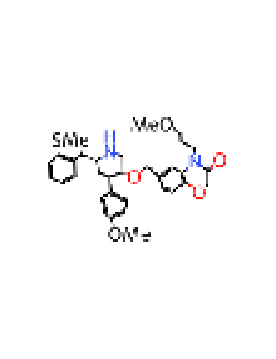 COCCCN1C(=O)COc2ccc(CO[C@H]3CN[C@H](C(SC)c4ccccc4)C[C@@H]3c3ccc(OC)cc3)cc21